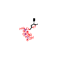 C#C[C@H]1CC(COP(=O)(O)OP(=O)(O)OP(=O)(O)O)OC1C